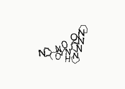 Cc1cnccc1-c1nc(C(=O)Nc2cc3oc(N4CCCCC4)nc3nc2N2CCCCC2)co1